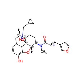 CN(C(=O)/C=C/c1ccoc1)[C@@H]1CC[C@@]2(O)[C@H]3CC4C=CC(O)=C5O[C@@H]1[C@]2(CCN3CC1CC1)C54